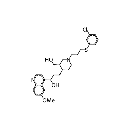 COc1ccc2nccc(C(O)CC[C@@H]3CCN(CCCSc4cccc(Cl)c4)C[C@@H]3CO)c2c1